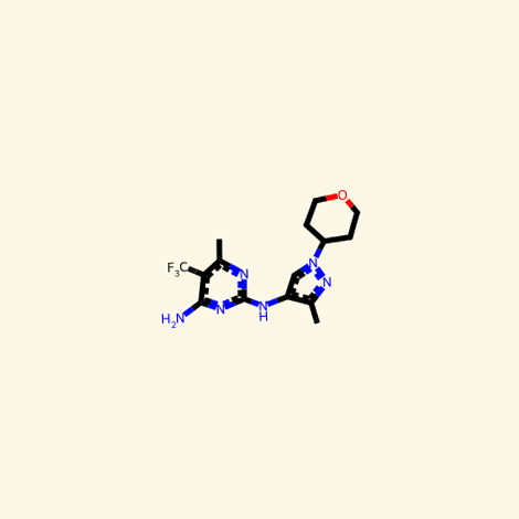 Cc1nn(C2CCOCC2)cc1Nc1nc(C)c(C(F)(F)F)c(N)n1